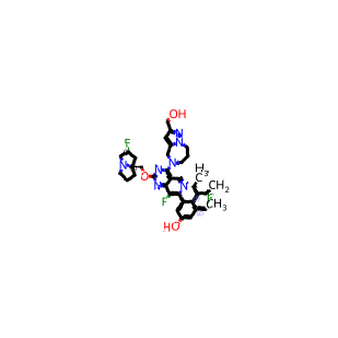 C=C(F)/C(CC)=c1/c(-c2ncc3c(N4CCCn5nc(CO)cc5C4)nc(OC[C@@]45CCCN4C[C@H](F)C5)nc3c2F)cc(O)c/c1=C/C